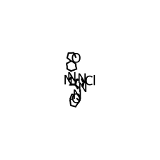 Clc1nc(N2CC3CCC(C2)O3)c2cnn(C3CCC4(CCCO4)CC3)c2n1